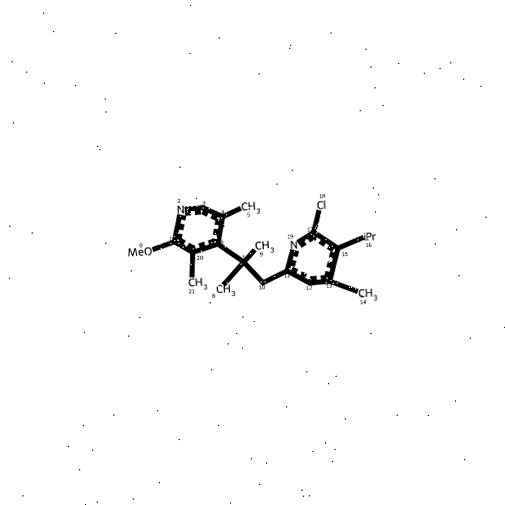 COc1ncc(C)c(C(C)(C)Cc2cc(C)c(C(C)C)c(Cl)n2)c1C